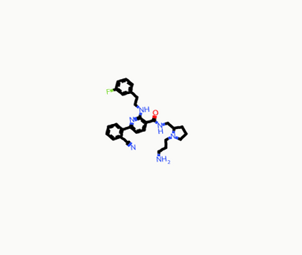 N#Cc1ccccc1-c1ccc(C(=O)NCC2CCCN2CCCN)c(NCCc2cccc(F)c2)n1